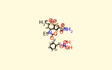 CCN(C(=O)OCc1ccccc1CON(O)O)[C@H]1CC(C)S(=O)(=O)c2sc(S(N)(=O)=O)cc21